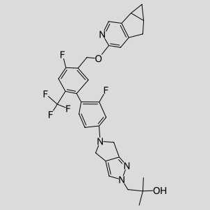 CC(C)(O)Cn1cc2c(n1)CN(c1ccc(-c3cc(COc4cc5c(cn4)C4CC4C5)c(F)cc3C(F)(F)F)c(F)c1)C2